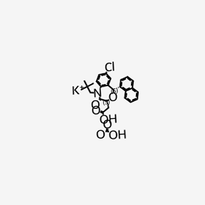 CC(C)(C)CN1C(=O)[C@H](CC(=O)O)O[C@@H](c2cccc3ccccc23)c2cc(Cl)ccc21.O=C([O-])O.[K+]